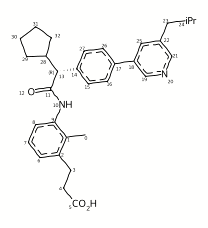 Cc1c(CCC(=O)O)cccc1NC(=O)[C@@H](c1ccc(-c2cncc(CC(C)C)c2)cc1)C1CCCC1